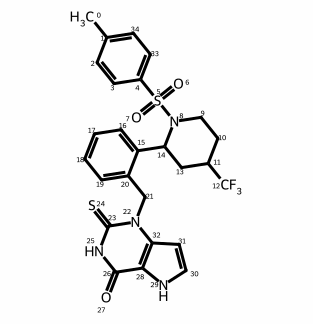 Cc1ccc(S(=O)(=O)N2CCC(C(F)(F)F)CC2c2ccccc2Cn2c(=S)[nH]c(=O)c3[nH]ccc32)cc1